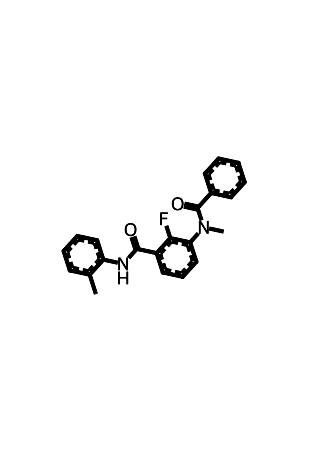 Cc1ccccc1NC(=O)c1cccc(N(C)C(=O)c2ccccc2)c1F